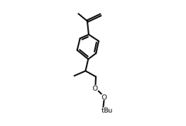 C=C(C)c1ccc(C(C)COOC(C)(C)C)cc1